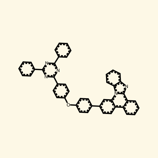 c1ccc(-c2nc(-c3ccccc3)nc(-c3ccc(Oc4ccc(-c5ccc6c7ccccc7c7nc8ccccc8n7c6c5)cc4)cc3)n2)cc1